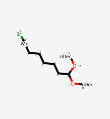 CCCCCCCCCCOC(CCCC[CH2][Mg][Br])OCCCCCCCCCC